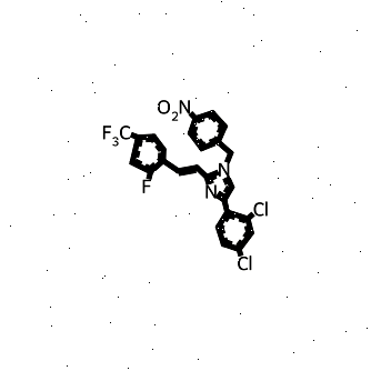 O=[N+]([O-])c1ccc(Cn2cc(-c3ccc(Cl)cc3Cl)nc2C=Cc2ccc(C(F)(F)F)cc2F)cc1